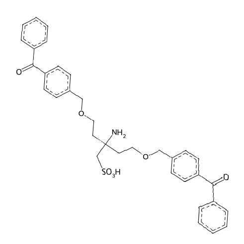 NC(CCOCc1ccc(C(=O)c2ccccc2)cc1)(CCOCc1ccc(C(=O)c2ccccc2)cc1)CS(=O)(=O)O